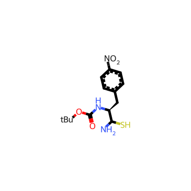 CC(C)(C)OC(=O)N[C@@H](Cc1ccc([N+](=O)[O-])cc1)C(N)S